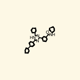 c1ccc(-c2ccc(C3=NC(c4cccc(C5Nc6ccccc6O5)c4)=NC(c4ccccc4)N3)cc2)cc1